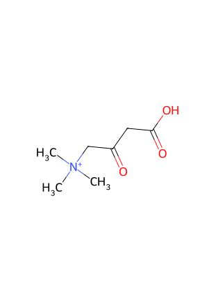 C[N+](C)(C)CC(=O)CC(=O)O